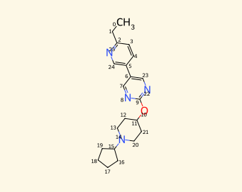 CCc1ccc(-c2cnc(OC3CCN(C4CCCC4)CC3)nc2)cn1